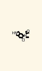 C=CN(c1cc2c(cc1Cl)CNC2)C1COC1